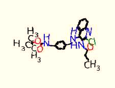 CCCC(=O)Nc1c(Cl)nc2ccccc2c1NCc1ccc(CNC(=O)OC(C)(C)C)cc1